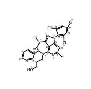 Cc1nc(N(CCCO)Cc2ccccc2)c2c([S+](C)[O-])nn(-c3c(Cl)cc(Cl)cc3Cl)c2n1